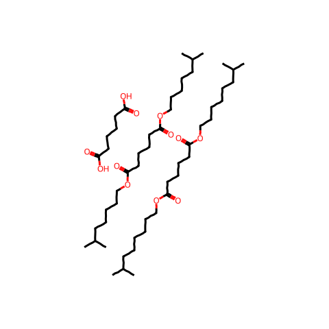 CC(C)CCCCCCOC(=O)CCCCC(=O)OCCCCCCC(C)C.CC(C)CCCCCOC(=O)CCCCC(=O)OCCCCCC(C)C.O=C(O)CCCCC(=O)O